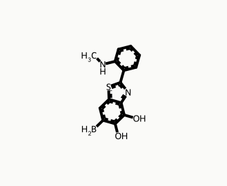 Bc1cc2sc(-c3ccccc3NC)nc2c(O)c1O